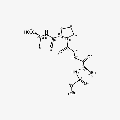 CC[C@H](C)[C@H](NC(=O)OC(C)(C)C)C(=O)NCC(=O)N1CCC[C@H]1C(=O)N[C@@H](C)C(=O)O